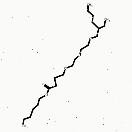 CCCCCCOC(=O)CCCOCCOCCOCC(CC)CCCC